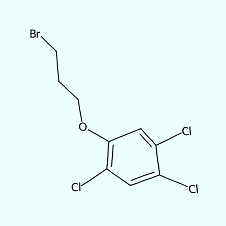 Clc1cc(Cl)c(OCCCBr)cc1Cl